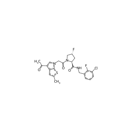 CC(=O)c1cn(CC(=O)N2C[C@H](F)C[C@H]2C(=O)NCc2cccc(Cl)c2F)c2sc(C)cc12